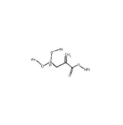 C=C(C[SiH](OC(C)C)OC(C)C)C(=O)OCCC